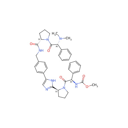 COC(=O)N[C@@H](C(=O)N1CCC[C@H]1c1ncc(-c2ccc(CNC(=O)[C@@H]3CCCN3C(=O)[C@@H](c3ccccc3)N(C)C)cc2)[nH]1)c1ccccc1